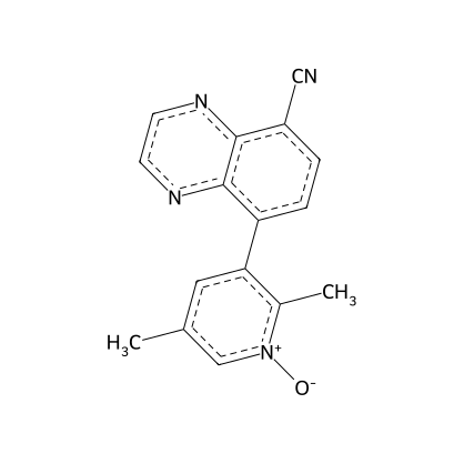 Cc1cc(-c2ccc(C#N)c3nccnc23)c(C)[n+]([O-])c1